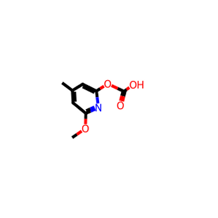 COc1cc(C)cc(OC(=O)O)n1